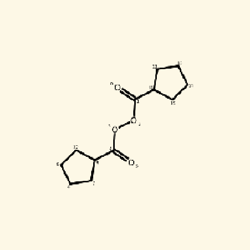 O=C(OOC(=O)C1CCCC1)C1CCCC1